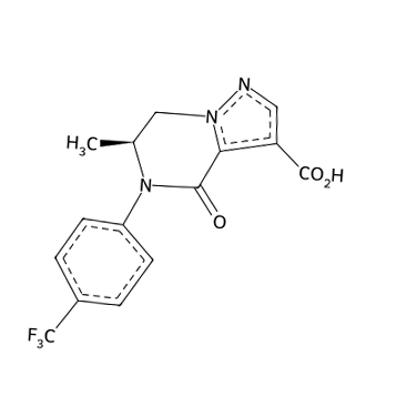 C[C@H]1Cn2ncc(C(=O)O)c2C(=O)N1c1ccc(C(F)(F)F)cc1